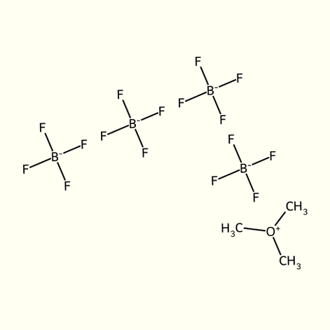 C[O+](C)C.F[B-](F)(F)F.F[B-](F)(F)F.F[B-](F)(F)F.F[B-](F)(F)F